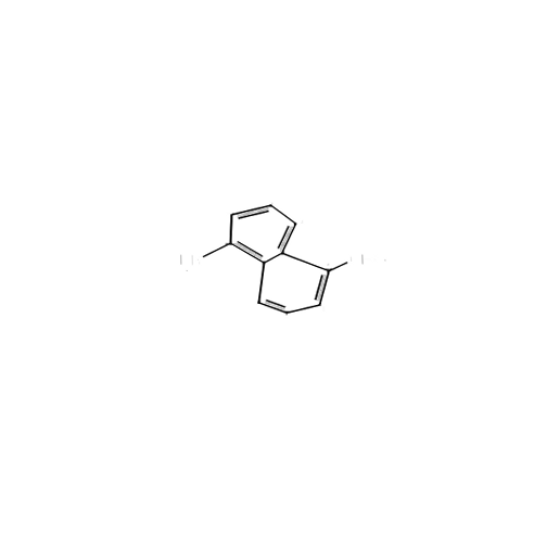 Bc1cccc2c(C=O)cccc12